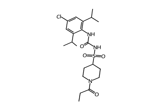 CCC(=O)N1CCC(S(=O)(=O)NC(=O)Nc2c(C(C)C)cc(Cl)cc2C(C)C)CC1